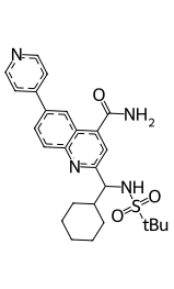 CC(C)(C)S(=O)(=O)NC(c1cc(C(N)=O)c2cc(-c3ccncc3)ccc2n1)C1CCCCC1